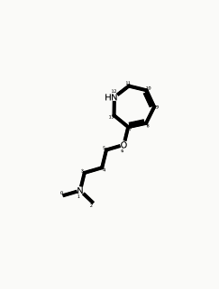 CN(C)CCCOC1=CC=CCNC1